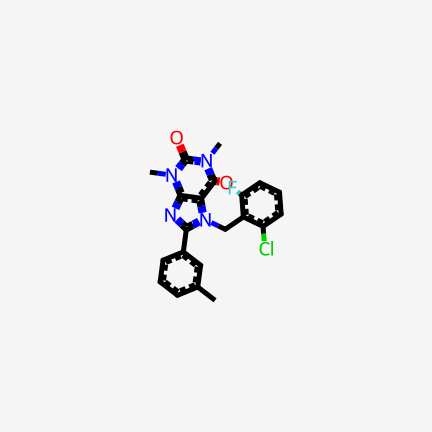 Cc1cccc(-c2nc3c(c(=O)n(C)c(=O)n3C)n2Cc2c(F)cccc2Cl)c1